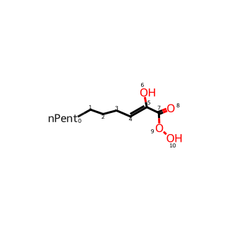 CCCCCCCCC=C(O)C(=O)OO